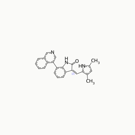 Cc1cc(C)c(/C=C2\C(=O)Nc3c2cccc3-c2cncc3ccccc23)[nH]1